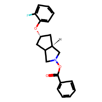 O=C(ON1CC2C[C@H](Oc3ccccc3F)C[C@H]2C1)c1ccccc1